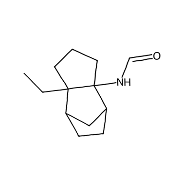 CCC12CCCC1(NC=O)C1CCC2C1